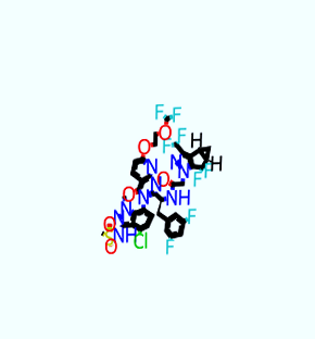 Cn1nc(NS(C)(=O)=O)c2c(Cl)ccc(-n3c([C@H](Cc4cc(F)cc(F)c4)NC(=O)Cn4nc(C(F)F)c5c4C(F)(F)[C@@H]4C[C@H]54)nc4nc(OCCOC(F)F)ccc4c3=O)c21